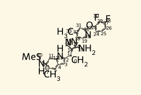 C=C(c1cc2cc(C)c(NSC)cc2[nH]1)c1cnn(-c2cnc(Oc3cccc(F)c3F)cc2C)c1N